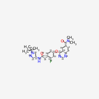 CN(C)C(=O)c1ccc2ncnc(Oc3ccc(CC(=O)Nc4cnn(C(C)(C)C)c4)c(F)c3)c2c1